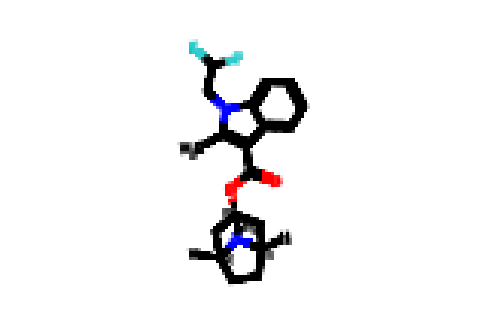 Cc1c(C(=O)O[C@H]2C[C@H]3CC[C@@H](C2)N3C)c2ccccc2n1CC(F)F